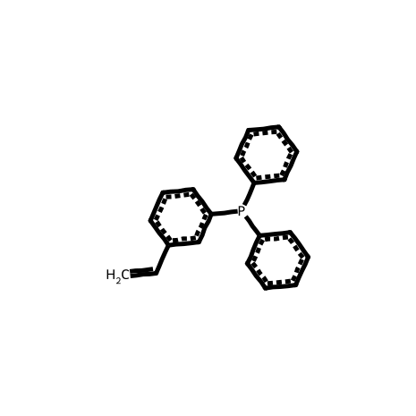 C=Cc1cccc(P(c2ccccc2)c2ccccc2)c1